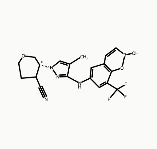 Cc1cn([C@H]2COCCC2C#N)nc1Nc1cc2c(c(C(F)(F)F)c1)OB(O)C=C2